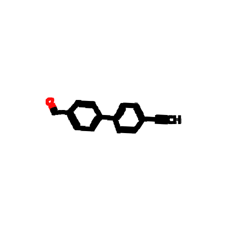 C#Cc1ccc(-c2ccc(C=O)cc2)cc1